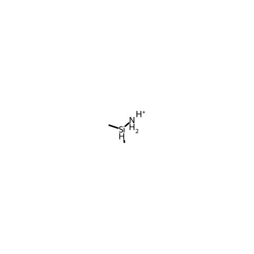 C[SiH](C)N.[H+]